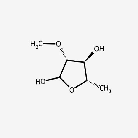 CO[C@H]1C(O)O[C@@H](C)[C@@H]1O